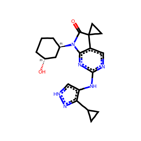 O=C1N([C@@H]2CCC[C@@H](O)C2)c2nc(Nc3c[nH]nc3C3CC3)ncc2C12CC2